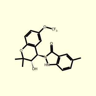 Cc1ccc2[nH]n([C@@H]3c4cc(OC(F)(F)F)ccc4OC(C)(C)[C@H]3O)c(=O)c2c1